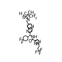 CC(C)(C)[S+]([O-])/N=C/c1cnn2cc([C@@H](NC(=O)c3cnn(CCC(F)(F)F)n3)C3CCC(F)(F)CC3)nc2c1